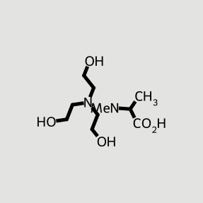 CNC(C)C(=O)O.OCCN(CCO)CCO